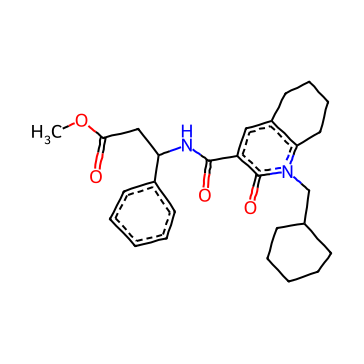 COC(=O)CC(NC(=O)c1cc2c(n(CC3CCCCC3)c1=O)CCCC2)c1ccccc1